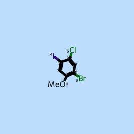 COc1cc(I)c(Cl)cc1Br